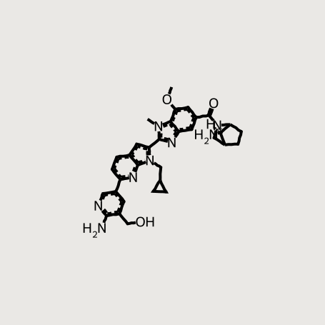 COc1cc(C(=O)N2CC3CCC2[C@@H]3N)cc2nc(-c3cc4ccc(-c5cnc(N)c(CO)c5)nc4n3CC3CC3)n(C)c12